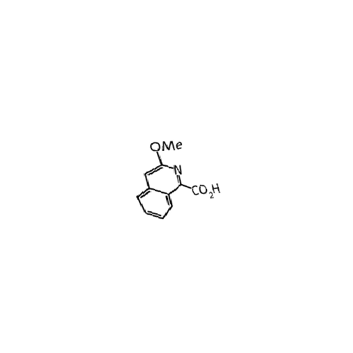 COc1cc2ccccc2c(C(=O)O)n1